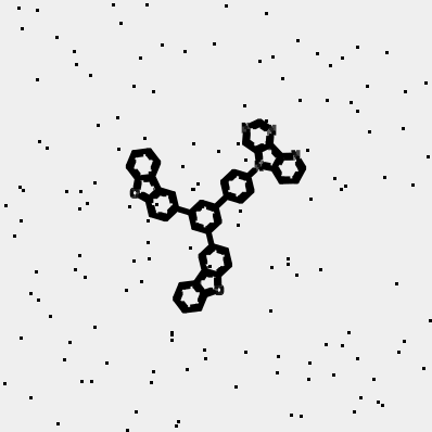 c1ccc2c(c1)oc1ccc(-c3cc(-c4ccc(-n5c6cccnc6c6ncncc65)cc4)cc(-c4ccc5oc6ccccc6c5c4)c3)cc12